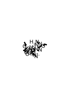 CCOC(=O)C(C)OP1(=O)OC[C@H]2O[C@@H](n3cnc4c(OCC)nc(N)nc43)[C@](C)(N=[N+]=[N-])[C@@H]2O1